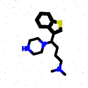 CN(C)CCCC(c1csc2ccccc12)N1CCNCC1